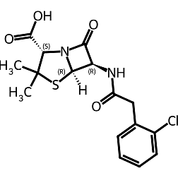 CC1(C)S[C@@H]2[C@H](NC(=O)Cc3ccccc3Cl)C(=O)N2[C@H]1C(=O)O